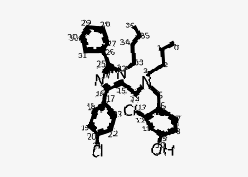 CCCCN(Cc1ccc(O)cc1Cl)Cc1c(-c2ccc(Cl)cc2)nc(-c2ccccc2)n1CCCC